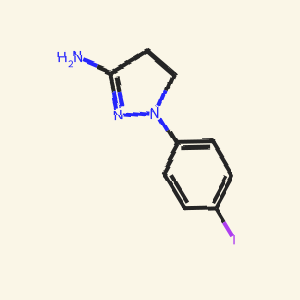 NC1=NN(c2ccc(I)cc2)CC1